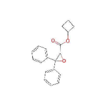 O=C(OC1CCC1)C1OC1(c1ccccc1)c1ccccc1